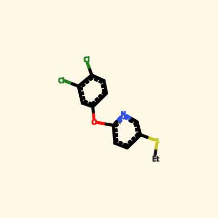 CCSc1ccc(Oc2ccc(Cl)c(Cl)c2)nc1